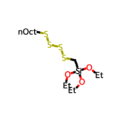 CCCCCCCCSSSSC[Si](OCC)(OCC)OCC